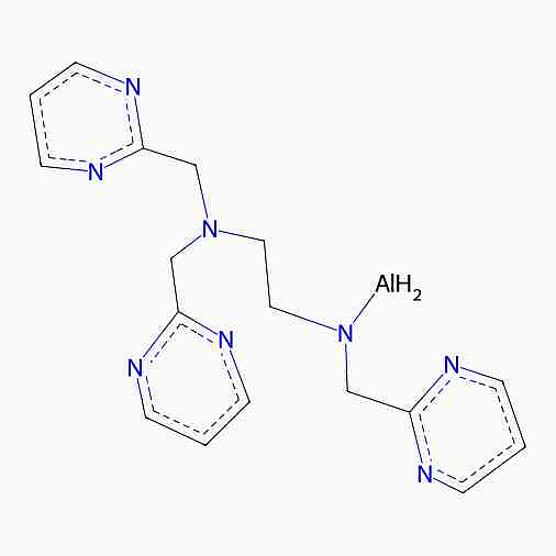 [AlH2][N](CCN(Cc1ncccn1)Cc1ncccn1)Cc1ncccn1